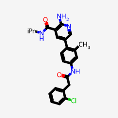 Cc1cc(NC(=O)Cc2ccccc2Cl)ccc1-c1cnc(N)c(C(=O)NC(C)C)c1